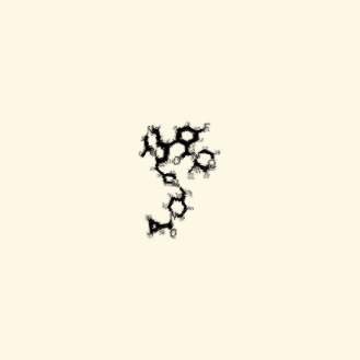 Cc1cncc2c(-c3ccc(F)cc3C(=O)N3CCOC[C@H]3C)cc(CC3CN(CC4CCN(C(=O)C5CC5)CC4)C3)n12